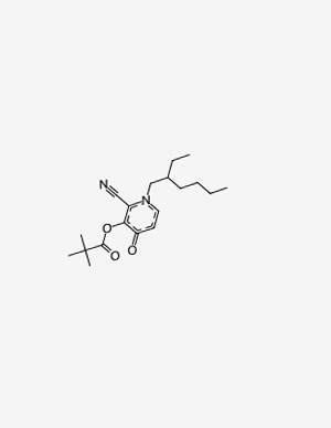 CCCCC(CC)Cn1ccc(=O)c(OC(=O)C(C)(C)C)c1C#N